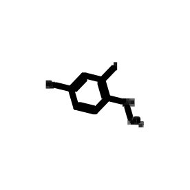 O=[N+]([O-])Nc1ccc(Br)cc1I